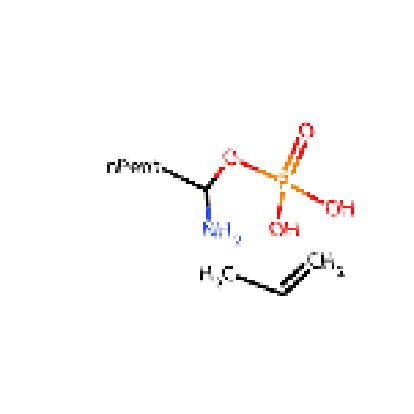 C=CC.CCCCCC(N)OP(=O)(O)O